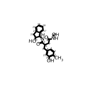 Cc1ccc(CC(CC(=O)NO)C(=O)NC2c3ccccc3CC2O)cc1O